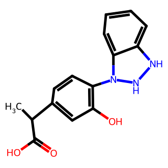 CC(C(=O)O)c1ccc(N2NNc3ccccc32)c(O)c1